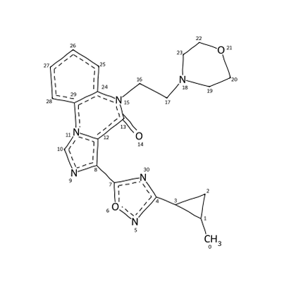 CC1CC1c1noc(-c2ncn3c2c(=O)n(CCN2CCOCC2)c2ccccc23)n1